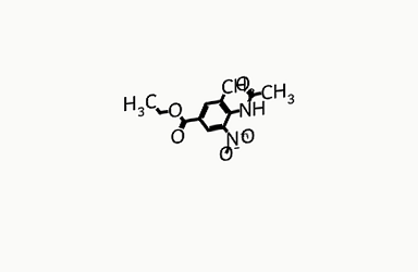 CCOC(=O)c1cc(C)c(NC(C)=O)c([N+](=O)[O-])c1